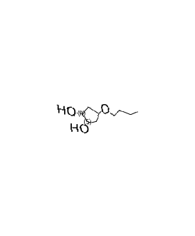 CCCCOC1C[C@@H](O)[C@@H](O)C1